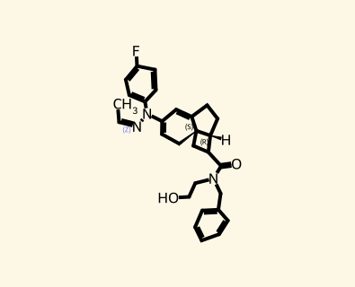 C/C=N\N(C1=CC[C@]23CC(C(=O)N(CCO)Cc4ccccc4)[C@H]2CCC3=C1)c1ccc(F)cc1